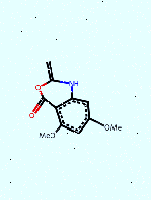 C=C1Nc2cc(OC)cc(OC)c2C(=O)O1